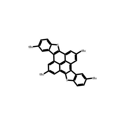 CC(C)(C)c1ccc2sc3c4cc(C(C)(C)C)cc5c6c7cc(C(C)(C)C)ccc7sc6c6cc(C(C)(C)C)cc(c3c2c1)c6c45